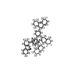 c1ccc2c(-c3ccc4ccccc4c3-c3nc(-c4ccc(-c5cc6ccccc6c6ccccc56)cc4)nc(-c4cccc5c4sc4ccccc45)n3)cccc2c1